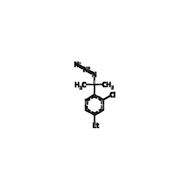 CCc1ccc(C(C)(C)N=[N+]=[N-])c(Cl)c1